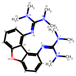 CN(C)C(=Nc1cccc2oc3cccc(N=C(N(C)C)N(C)C)c3c12)N(C)C